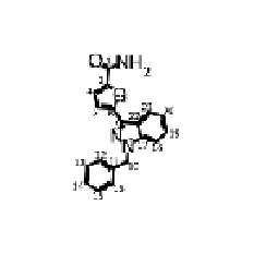 NC(=O)c1ccc(-c2nn(Cc3ccccc3)c3ccccc23)o1